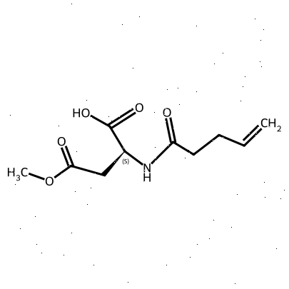 C=CCCC(=O)N[C@@H](CC(=O)OC)C(=O)O